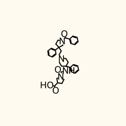 O=C(O)C1CCN(C(=O)NC2(c3ccccc3)CCN(CCC3(c4ccccc4)CCN(C(=O)c4ccccc4)C3)CC2)C1